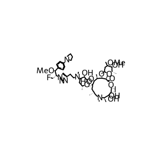 CO[C@H](c1ccc(N2CCCC2)cc1)[C@@H](CF)n1cc(CCN(C)[C@H]2C[C@@H](C)O[C@@H](O[C@@H]3[C@@H](C)[C@H](O[C@H]4C[C@@](C)(OC)[C@@H](O)[C@H](C)O4)[C@@H](C)C(=O)O[C@H](I)[C@@](C)(O)[C@H](O)[C@@H](C)N(C)C[C@H](C)C[C@@]3(C)O)[C@@H]2O)nn1